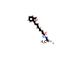 CC(C)CNC(=O)C=CC=CCCCc1occ2ccccc12